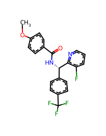 COc1ccc(C(=O)N[C@@H](c2ccc(C(F)(F)F)cc2)c2ncccc2F)cc1